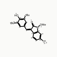 CON1C(=O)C(=Cc2cc(C(C)(C)C)c(O)c(C(C)(C)C)c2)c2ccc(C(F)(F)F)cc21